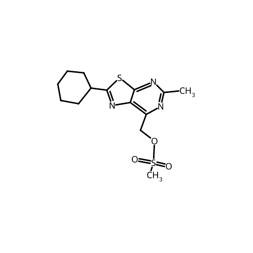 Cc1nc(COS(C)(=O)=O)c2nc(C3CCCCC3)sc2n1